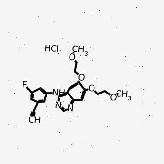 C#Cc1cc(F)cc(Nc2ncnc3cc(OCCOC)c(OCCOC)cc23)c1.Cl